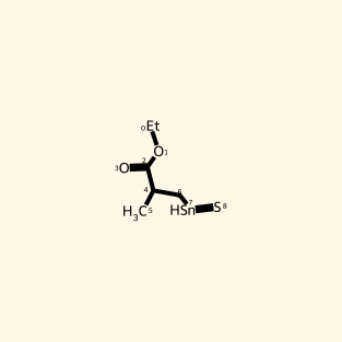 CCOC(=O)C(C)[CH2][SnH]=[S]